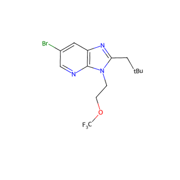 CC(C)(C)Cc1nc2cc(Br)cnc2n1CCOC(F)(F)F